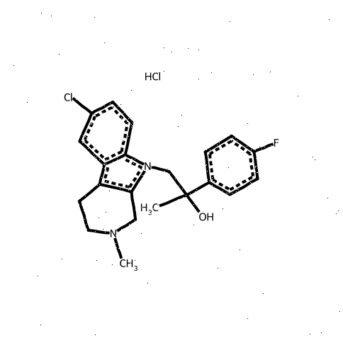 CN1CCc2c(n(CC(C)(O)c3ccc(F)cc3)c3ccc(Cl)cc23)C1.Cl